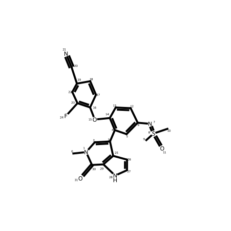 Cn1cc(-c2cc(N=S(C)(C)=O)ccc2Oc2ccc(C#N)cc2F)c2cc[nH]c2c1=O